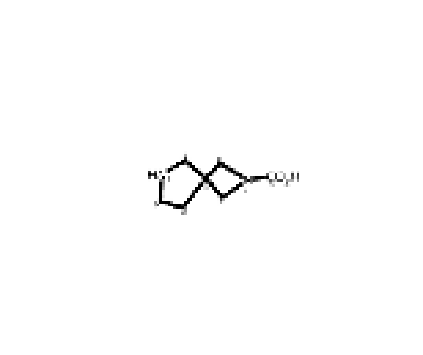 O=C(O)N1CC2(CCNC2)C1